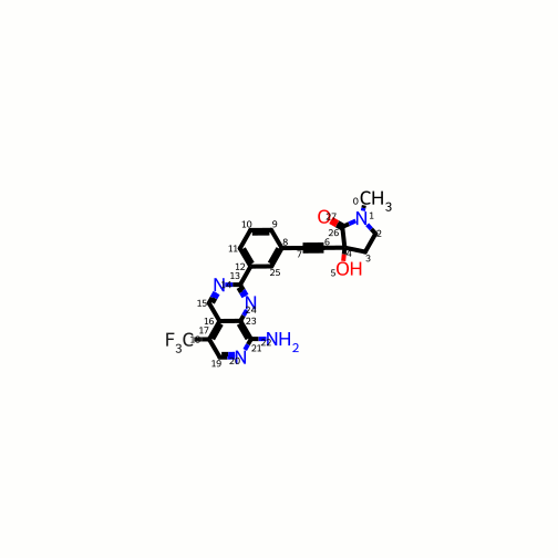 CN1CCC(O)(C#Cc2cccc(-c3ncc4c(C(F)(F)F)cnc(N)c4n3)c2)C1=O